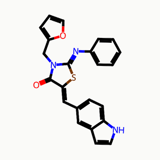 O=C1C(=Cc2ccc3[nH]ccc3c2)SC(=Nc2ccccc2)N1Cc1ccco1